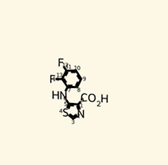 O=C(O)c1ncsc1Nc1cccc(F)c1F